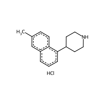 Cc1ccc2c(C3CCNCC3)cccc2c1.Cl